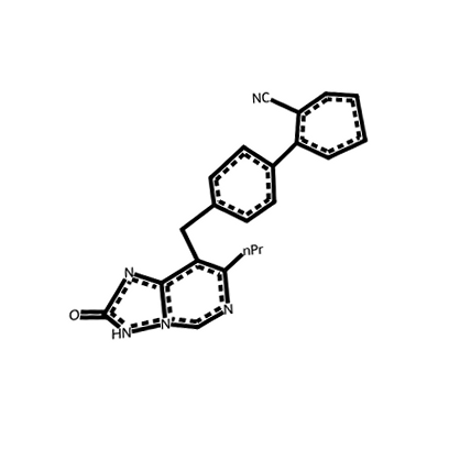 CCCc1ncn2[nH]c(=O)nc2c1Cc1ccc(-c2ccccc2C#N)cc1